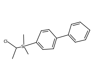 CC(Cl)[Si](C)(C)c1ccc(-c2ccccc2)cc1